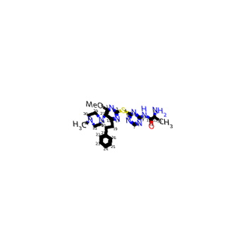 COc1nc(Sc2ncnc(NC(=O)C(C)N)n2)nc(CCc2ccccc2)c1N1CCN(C)CC1